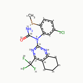 CSc1ccc(Cl)cc1N(C(N)=O)c1nc2c(c(C(F)(F)F)n1)CCCC2